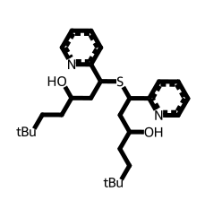 CC(C)(C)CCC(O)CC(SC(CC(O)CCC(C)(C)C)c1ccccn1)c1ccccn1